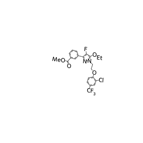 CCOc1c(F)c(-c2cccc(C(=O)OC)c2)nn1CCOc1ccc(C(F)(F)F)cc1Cl